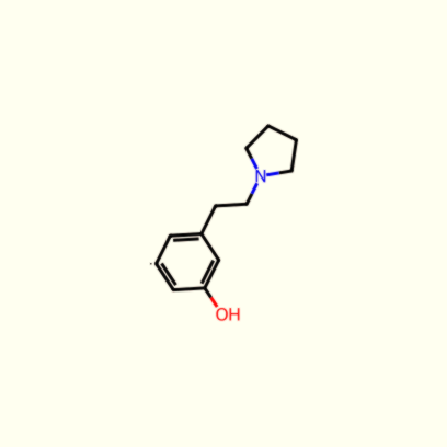 Oc1c[c]cc(CCN2CCCC2)c1